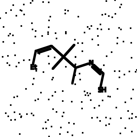 CC/C=C\C(C)(C)C(C)/N=C\S